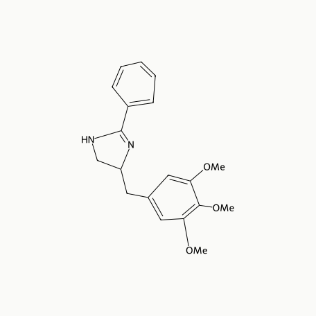 COc1cc(CC2CNC(c3ccccc3)=N2)cc(OC)c1OC